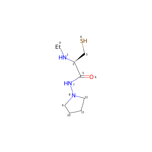 CCN[C@@H](CS)C(=O)NN1CCCC1